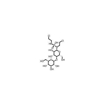 O=P(O)(NCCCl)N(CCCl)[C@H]1O[C@H](CO)[C@@H](O[C@@H]2O[C@H](CO)[C@@H](O)[C@H](O)[C@H]2O)[C@H](O)[C@H]1O